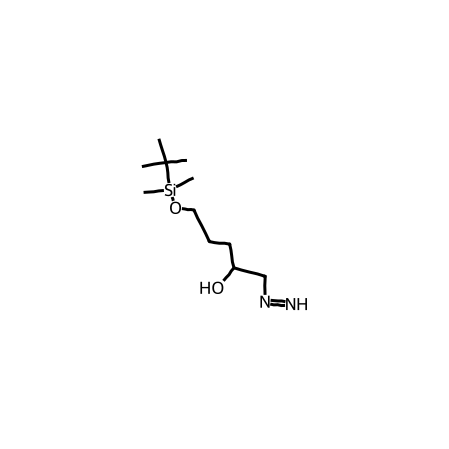 CC(C)(C)[Si](C)(C)OCCCC(O)CN=N